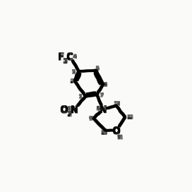 O=[N+]([O-])c1cc(C(F)(F)F)ccc1N1CCOCC1